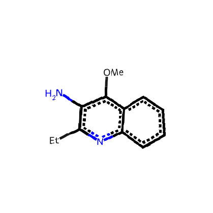 CCc1nc2ccccc2c(OC)c1N